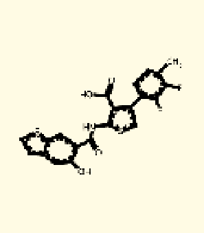 Cc1ccc(-c2csc(NC(=O)c3cc4sccc4cc3O)c2C(=O)O)c(F)c1F